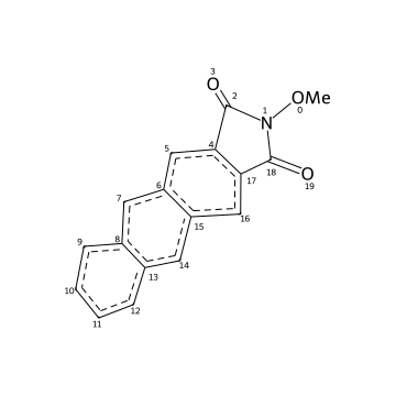 CON1C(=O)c2cc3cc4ccccc4cc3cc2C1=O